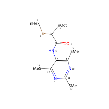 CCCCCCCCC(SCCCCCC)C(=O)Nc1c(SC)nc(SC)nc1SC